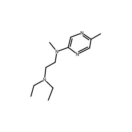 CCN(CC)CCN(C)c1cnc(C)cn1